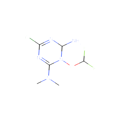 CN(C)C1=NC(Cl)=NC(N)N1OC(F)F